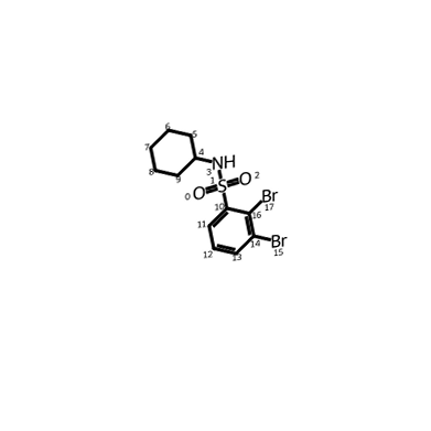 O=S(=O)(NC1CCCCC1)c1cccc(Br)c1Br